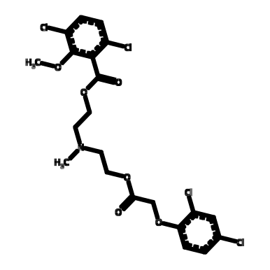 COc1c(Cl)ccc(Cl)c1C(=O)OCCN(C)CCOC(=O)COc1ccc(Cl)cc1Cl